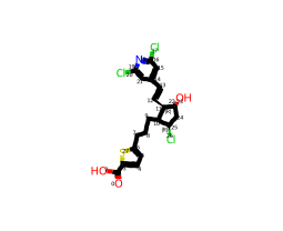 O=C(O)c1ccc(CCCC2[C@@H](C=Cc3cc(Cl)nc(Cl)c3)C(O)C[C@H]2Cl)s1